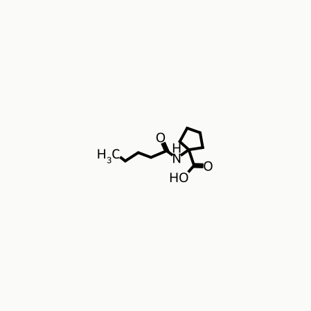 CCCCC(=O)NC1(C(=O)O)CCCC1